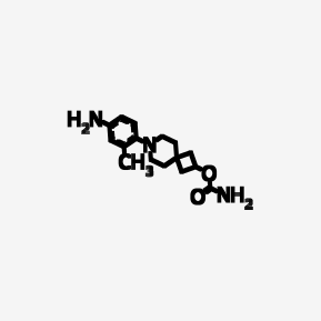 Cc1cc(N)ccc1N1CCC2(CC1)CC(OC(N)=O)C2